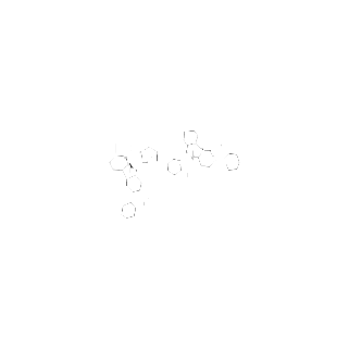 Cc1ccccc1-c1ccc2c(c1)c1ccccc1n2-c1cc(-c2ccc(C(F)(F)F)c(-n3c4ccccc4c4cc(-c5ccccc5C)ccc43)c2)ccc1C(F)(F)F